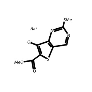 COC(=O)c1sc2cnc(SC)nc2c1[O-].[Na+]